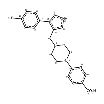 O=C(O)c1ccc(N2CCN(Cc3c[nH]nc3-c3ccc(F)cc3)CC2)nc1